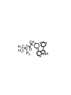 CN(C(=O)OC(C)(C)C)[C@@H]1CCCN(c2ccnc3[nH]cc(-c4cncnc4)c23)C1